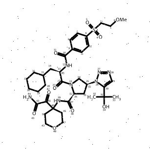 COCCS(=O)(=O)c1ccc(C(=O)N[C@H](CC2CCCCC2)C(=O)N2C[C@@H](n3nncc3C(C)(C)O)C[C@H]2C(=O)NC2(C(=O)C(N)=O)CCOCC2)cc1